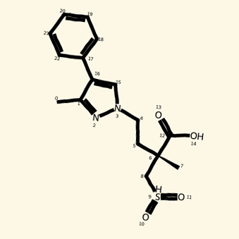 Cc1nn(CC[C@@](C)(C[SH](=O)=O)C(=O)O)cc1-c1ccccc1